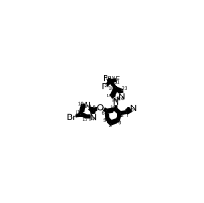 N#Cc1cccc(Oc2ncc(Br)cn2)c1-n1cc(C(F)(F)F)cn1